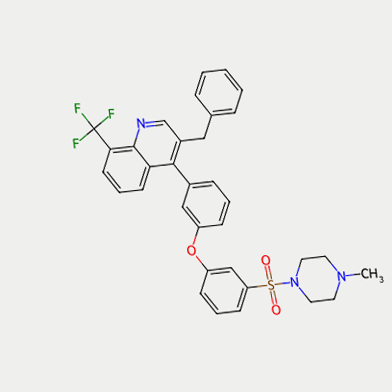 CN1CCN(S(=O)(=O)c2cccc(Oc3cccc(-c4c(Cc5ccccc5)cnc5c(C(F)(F)F)cccc45)c3)c2)CC1